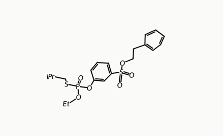 CCOP(=O)(Oc1cccc(S(=O)(=O)OCCc2ccccc2)c1)SCC(C)C